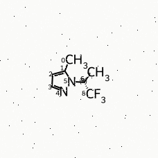 Cc1ccnn1[C@H](C)C(F)(F)F